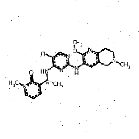 COc1nc2c(cc1Nc1ncc(Cl)c(N[C@H](C)c3cccn(C)c3=O)n1)CN(C)CC2